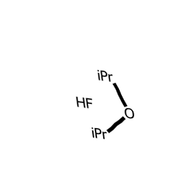 CC(C)OC(C)C.F